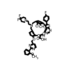 COc1ccccc1-c1nccc(COc2ccc3cc2C[C@H](C(=O)O)Oc2ncnc4sc(-c5ccc(F)cc5)c(c24)-c2ccc(c(Cl)c2C)CN(CCN2CCC(F)(F)CC2)C3)n1